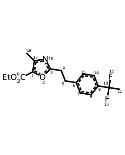 CCOC(=O)c1oc(CCc2ccc(C(C)(F)F)cc2)nc1C